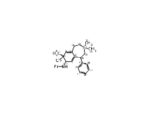 CCNC1C=C2C(=C[C@@]1(C)Cl)CC[N+](C)(C)CC2c1ccccc1